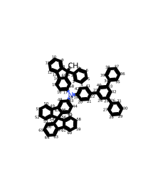 CC1(c2ccccc2)c2ccccc2-c2ccc(N(c3ccc(-c4cc(-c5ccccc5)cc(-c5ccccc5)c4)cc3)c3ccc4c(c3)-c3ccccc3C43c4ccccc4-c4ccccc43)cc21